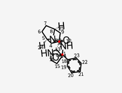 O=C(NC1C[C@H]2CC[C@@H](C1)N2C(=O)[C@@H]1CCCN1)c1ccccc1